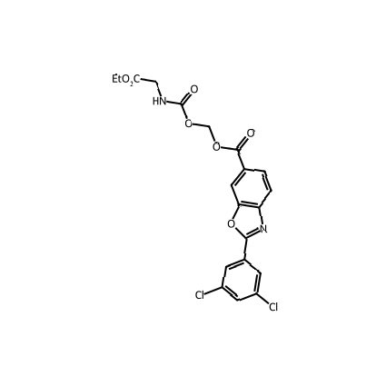 CCOC(=O)CNC(=O)OCOC(=O)c1ccc2nc(-c3cc(Cl)cc(Cl)c3)oc2c1